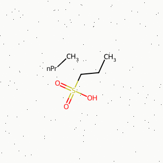 CCCC.CCCS(=O)(=O)O